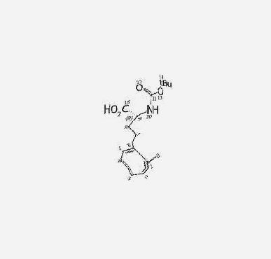 Cc1ccccc1CC[C@@H](NC(=O)OC(C)(C)C)C(=O)O